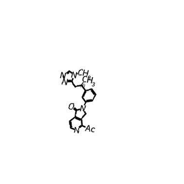 CC(=O)c1nccc2c1CN(c1cccc([C@H](C)Cc3nncn3C)c1)C2=O